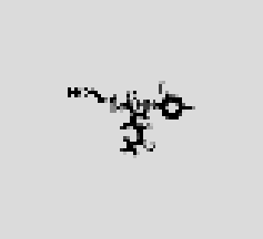 Cc1ccc(Nc2sc(C(=O)C(C)(C)C)c(C)c2C(=O)NOCCO)c(F)c1